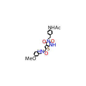 COc1cccc(CNC(=O)c2cc3c(=O)n(CCc4ccc(NC(C)=O)cc4)c(=O)[nH]c3s2)c1